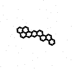 c1ccc2c(c1)ccc1c2ccc2c3cc4cc5ccc6cccc7ccc(c4cc3ccc21)c5c67